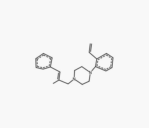 C=Cc1ccccc1N1CCN(CC(C)=Cc2ccccc2)CC1